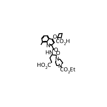 CCOC(=O)N1CCN(C(=O)C(CCC(=O)O)NC(=O)c2cc(OC3(C(=O)O)CCC3)c3cccc(C)c3n2)CC1